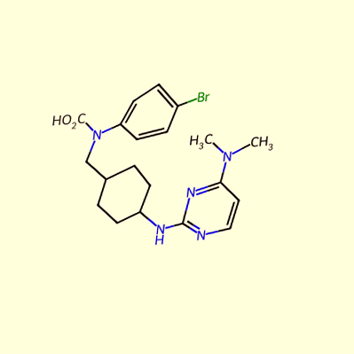 CN(C)c1ccnc(NC2CCC(CN(C(=O)O)c3ccc(Br)cc3)CC2)n1